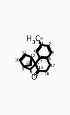 Cc1ccc2c(c1)C1(CC3C=CC1C3)C(=O)CC2